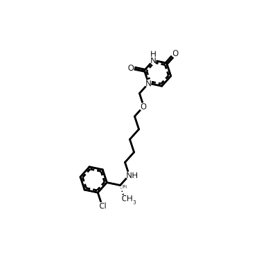 C[C@@H](NCCCCCOCn1ccc(=O)[nH]c1=O)c1ccccc1Cl